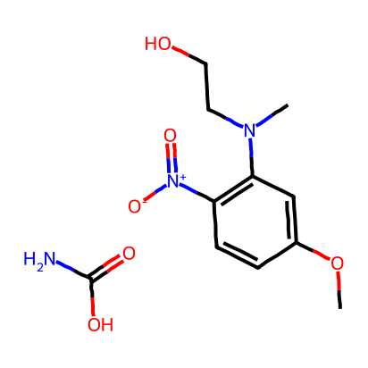 COc1ccc([N+](=O)[O-])c(N(C)CCO)c1.NC(=O)O